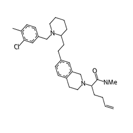 C=CCCC(C(=O)NC)N1CCc2ccc(CCC3CCCCN3Cc3ccc(C)c(Cl)c3)cc2C1